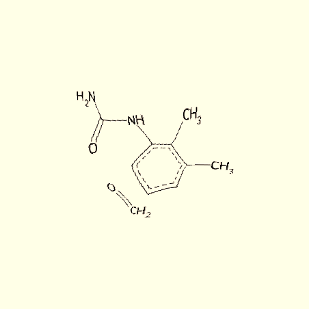 C=O.Cc1cccc(NC(N)=O)c1C